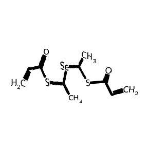 C=CC(=O)SC(C)[Se]C(C)SC(=O)C=C